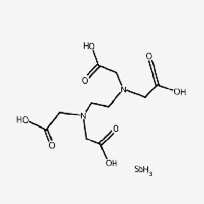 O=C(O)CN(CCN(CC(=O)O)CC(=O)O)CC(=O)O.[SbH3]